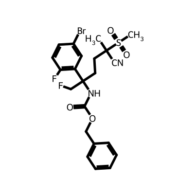 CC(C#N)(CCC(CF)(NC(=O)OCc1ccccc1)c1cc(Br)ccc1F)S(C)(=O)=O